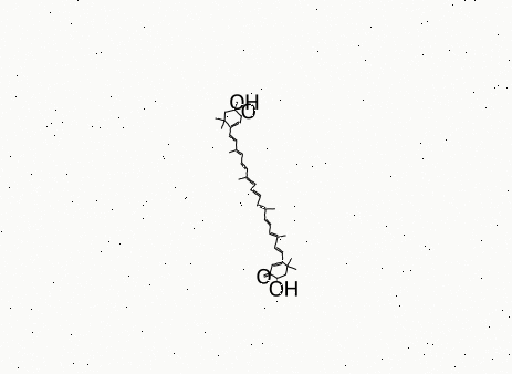 CC(/C=C/C=C(C)/C=C/C1=CC(=O)[C@H](O)CC1(C)C)=C\C=C\C=C(C)\C=C\C=C(C)\C=C\C1=CC(=O)[C@@H](O)CC1(C)C